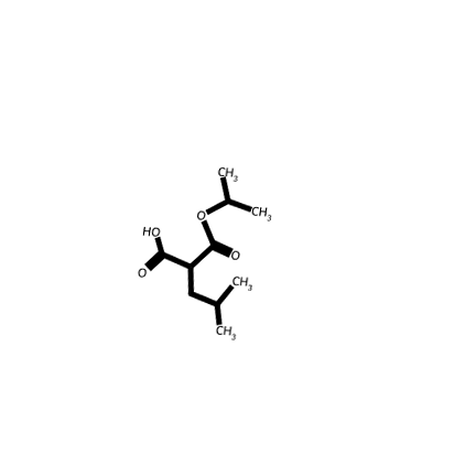 CC(C)CC(C(=O)O)C(=O)OC(C)C